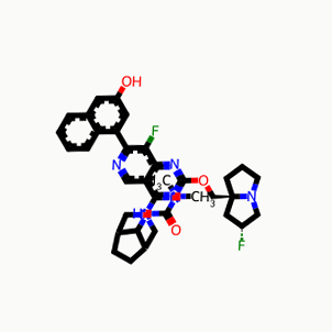 CN(C)C(=O)NC1C2CCC1CN(c1nc(OC[C@@]34CCCN3C[C@H](F)C4)nc3c(F)c(-c4cc(O)cc5ccccc45)ncc13)C2